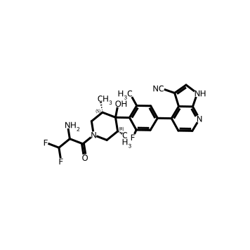 Cc1cc(-c2ccnc3[nH]cc(C#N)c23)cc(F)c1C1(O)[C@H](C)CN(C(=O)C(N)C(F)F)C[C@@H]1C